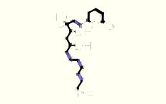 C[C@@](O)(/C=C/[C@H]1CC=CC(=O)O1)[C@H](O)C[C@@H](O)\C=C/C=C\C=C\CO